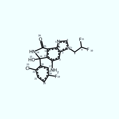 Nc1cc2c(ncn2CC(F)F)c2c1C(O)(c1cc(F)ccc1Cl)NC2=O